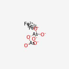 [Fe+2].[Fe+2].[Fe+2].[O-][As]([O-])[O-].[O-][As]([O-])[O-]